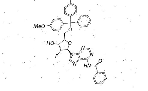 COc1ccc(C(OC[C@H]2O[C@@H](n3cnc4c(NC(=O)c5ccccc5)ncnc43)C(F)C2O)(c2ccccc2)c2ccc(OC)cc2)cc1